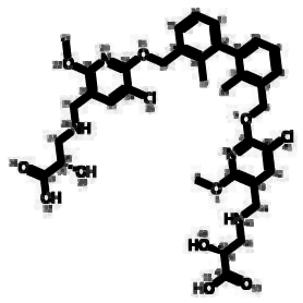 COc1nc(OCc2cccc(-c3cccc(COc4nc(OC)c(CNC[C@H](O)C(=O)O)cc4Cl)c3C)c2C)c(Cl)cc1CNC[C@H](O)C(=O)O